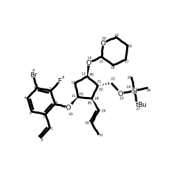 C=Cc1ccc(Br)c(F)c1O[C@H]1C[C@@H](OC2CCCCO2)[C@H](CO[Si](C)(C)C(C)(C)C)[C@H]1C=CC